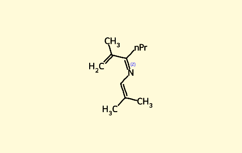 C=C(C)/C(CCC)=N\C=C(C)C